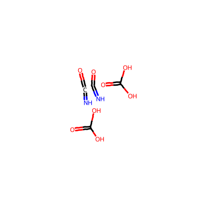 N=C=O.N=C=O.O=C(O)O.O=C(O)O